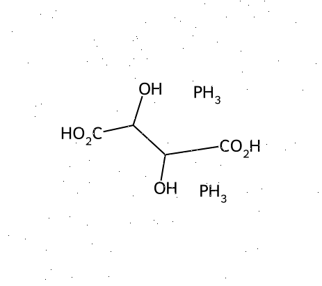 O=C(O)C(O)C(O)C(=O)O.P.P